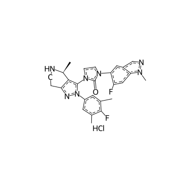 Cc1cc(-n2nc3c(c2-n2ccn(-c4cc5cnn(C)c5cc4F)c2=O)[C@H](C)NCC3)cc(C)c1F.Cl